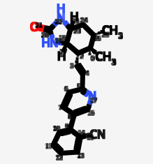 C[C@H]1[C@H](/C=C/c2ccc(-c3ccccc3C#N)cn2)[C@@H]2NC(=O)N[C@@H]2C[C@@H]1C